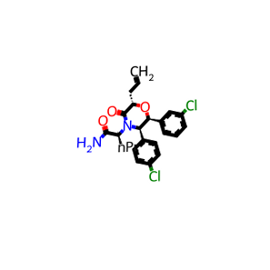 C=CC[C@@H]1O[C@@H](c2cccc(Cl)c2)[C@@H](c2ccc(Cl)cc2)N([C@@H](CCC)C(N)=O)C1=O